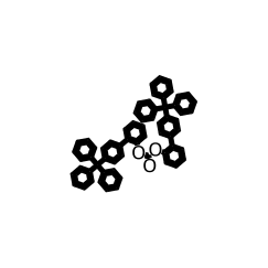 O=C(Oc1ccccc1-c1ccc(C(c2ccccc2)(c2ccccc2)c2ccccc2)cc1)Oc1ccccc1-c1ccc(C(c2ccccc2)(c2ccccc2)c2ccccc2)cc1